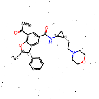 CNC(=O)c1cc(C(=O)N[C@H]2C[C@@H]2CCN2CCOCC2)cc2c1O[C@H](C)[C@H]2c1ccccc1